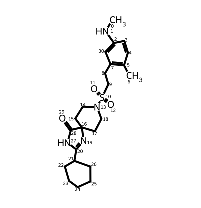 CNc1ccc(C)c(CCS(=O)(=O)N2CCC3(CC2)N=C(C2CCCCC2)NC3=O)c1